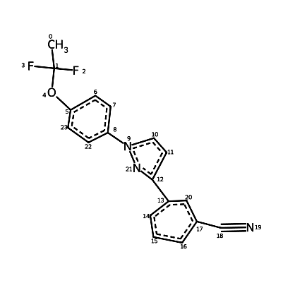 CC(F)(F)Oc1ccc(-n2ccc(-c3cccc(C#N)c3)n2)cc1